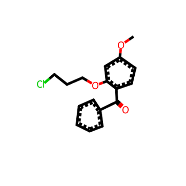 COc1ccc(C(=O)c2ccccc2)c(OCCCCl)c1